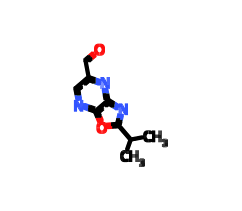 CC(C)c1nc2nc(C=O)cnc2o1